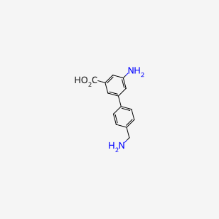 NCc1ccc(-c2cc(N)cc(C(=O)O)c2)cc1